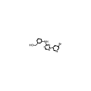 OCc1cccc(Nc2ncnc(-c3cncc(Br)c3)n2)c1